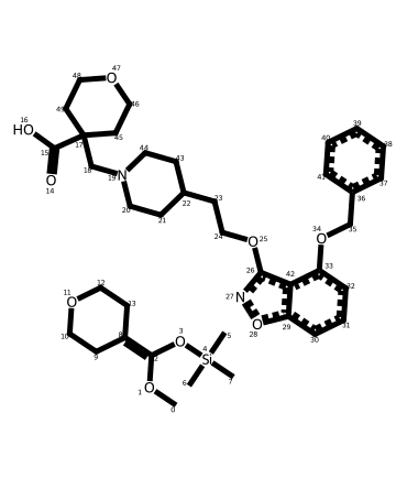 COC(O[Si](C)(C)C)=C1CCOCC1.O=C(O)C1(CN2CCC(CCOc3noc4cccc(OCc5ccccc5)c34)CC2)CCOCC1